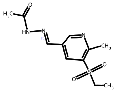 CCS(=O)(=O)c1cc(/C=N/NC(C)=O)cnc1C